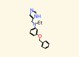 CCN(Cc1cnc[nH]1)c1cccc(OCc2ccccc2)c1